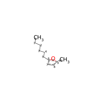 CCCCCCc1ccc(C)o1